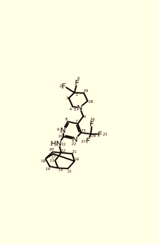 FC1(F)CCN(Cc2cnc(NC34CC5CC(CC(C5)C3)C4)nc2C(F)(F)F)CC1